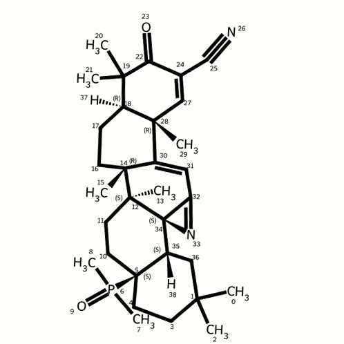 CC1(C)CC[C@]2(P(C)(C)=O)CC[C@@]3(C)[C@]4(C)CC[C@H]5C(C)(C)C(=O)C(C#N)=C[C@]5(C)C4=CC4=N[C@]43[C@@H]2C1